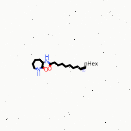 CCCCCC/C=C\CCCCCCCC(=O)N[C@H]1CCCCNC1=O